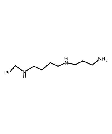 CC(C)CNCCCCNCCCN